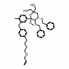 C=CCOCCCCc1ccc(Cc2cc([C@]3(OC)OC(CO)(CO)C[C@H](OCc4ccccc4)C3OCc3ccccc3)ccc2C)cc1